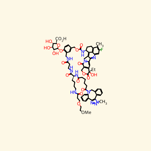 CC[C@@]1(O)C(=O)OCc2c1cc1n(c2=O)Cc2c-1nc1cc(F)c(C)c3c1c2[C@@H](NC(=O)OCc1ccc(O[C@@H]2O[C@H](C(=O)O)[C@@H](O)[C@H](O)[C@H]2O)c(CNC(=O)CCNC(=O)[C@H](CCCCNC(=O)CCOCCOC)NC(=O)CCCCC(=O)N2Cc4ccccc4-c4c(nnn4C)-c4ccccc42)c1)CC3